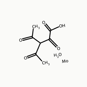 CC(=O)C(C(C)=O)C(=O)C(=O)O.O.[Mo]